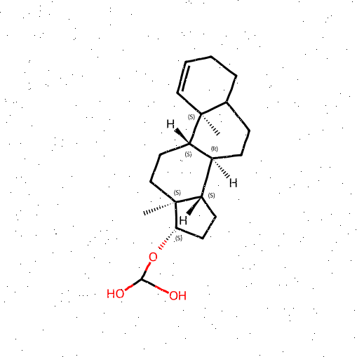 C[C@]12CC[C@H]3[C@@H](CCC4CCC=C[C@@]43C)[C@@H]1CC[C@@H]2OC(O)O